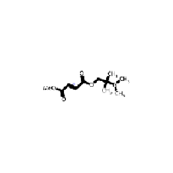 COC(=O)/C=C/C(=O)OCC(C)(C)N(C)C